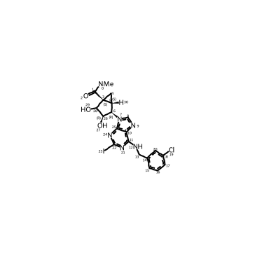 CNC(=O)[C@@]12C[C@@H]1[C@@H](n1cnc3c(NCc4cccc(Cl)c4)nc(I)nc31)[C@@H](O)C2O